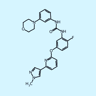 Cn1cc(-c2cccc(Oc3ccc(F)c(NC(=O)Nc4cccc(N5CCOCC5)c4)c3)n2)cn1